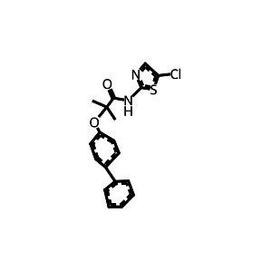 CC(C)(Oc1ccc(-c2ccccc2)cc1)C(=O)Nc1ncc(Cl)s1